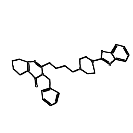 O=c1c2c(nc(CCCCN3CCN(c4nc5ccccc5s4)CC3)n1Cc1ccccc1)CCCC2